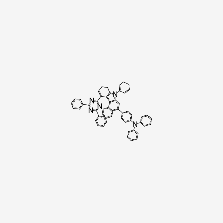 C1=CC(n2c3c(c4c5ccccc5c(-c5ccc(N(c6ccccc6)c6ccccc6)cc5)cc42)C(c2nc(-c4ccccc4)nc(-c4ccccc4)n2)=CCC3)=CCC1